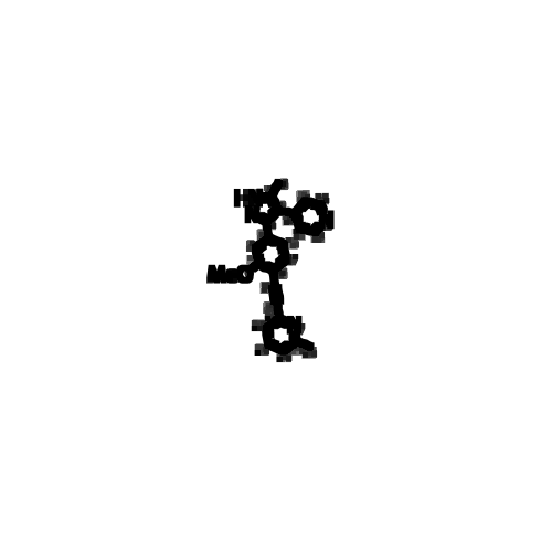 COc1cc(-c2n[nH]c(C)c2-c2ccncc2)ccc1C#Cc1cccc(C)n1